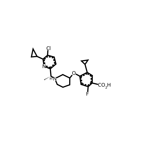 C[C@H](c1ccc(Cl)c(C2CC2)n1)N1CCCC(Oc2cc(F)c(C(=O)O)cc2C2CC2)C1